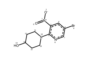 O=[N+]([O-])c1cc(Br)cnc1N1CCC(O)CC1